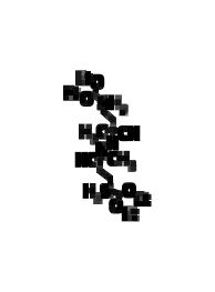 CCOC(OCC)[SiH2]CCC(C)(C#N)/N=N/C(C)(C#N)CC[SiH2]C(OCC)OCC